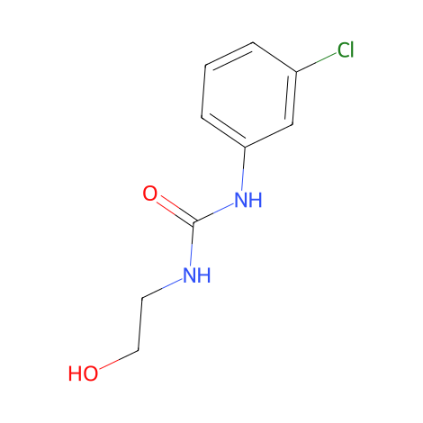 O=C(NCCO)Nc1cccc(Cl)c1